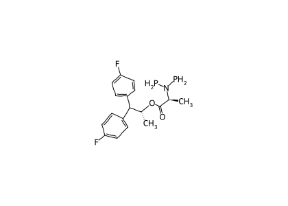 C[C@@H](OC(=O)[C@H](C)N(P)P)C(c1ccc(F)cc1)c1ccc(F)cc1